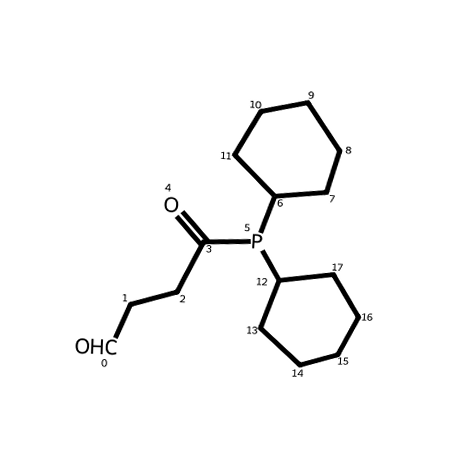 O=CCCC(=O)P(C1CCCCC1)C1CCCCC1